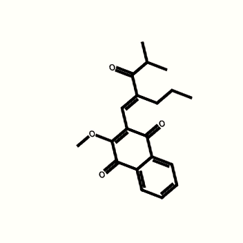 CCCC(=CC1=C(OC)C(=O)c2ccccc2C1=O)C(=O)C(C)C